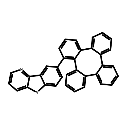 c1ccc2c(c1)-c1ccccc1-c1cccc(-c3ccc4sc5cccnc5c4c3)c1-c1ccccc1-2